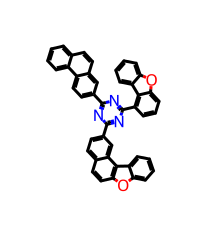 c1ccc2c(c1)ccc1cc(-c3nc(-c4ccc5ccc6oc7ccccc7c6c5c4)nc(-c4cccc5oc6ccccc6c45)n3)ccc12